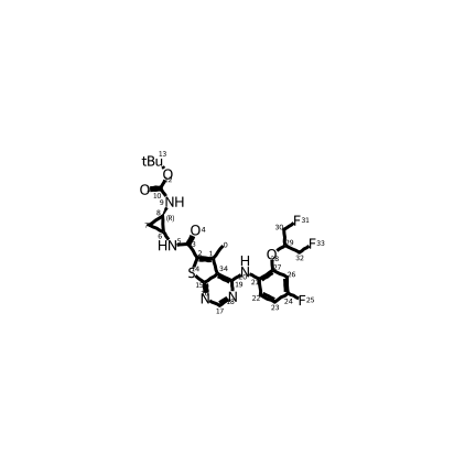 Cc1c(C(=O)NC2C[C@H]2NC(=O)OC(C)(C)C)sc2ncnc(Nc3ccc(F)cc3OC(CF)CF)c12